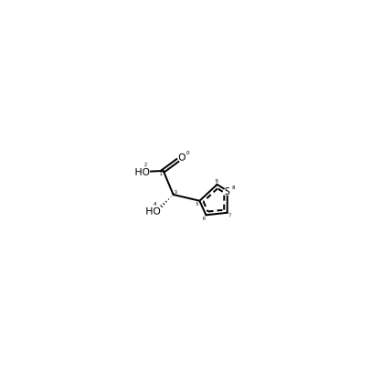 O=C(O)[C@@H](O)c1ccsc1